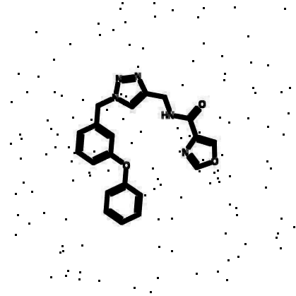 O=C(NCc1cn(Cc2cccc(Oc3ccccc3)c2)nn1)c1cocn1